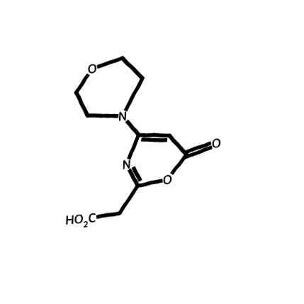 O=C(O)Cc1nc(N2CCOCC2)cc(=O)o1